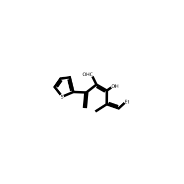 C=C(/C(C=O)=C(O)\C(C)=C/CC)c1cccs1